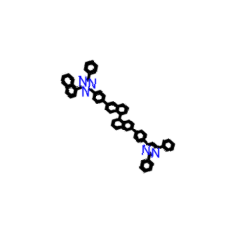 c1ccc(-c2cc(-c3ccc(-c4ccc5c(-c6cccc7cc(-c8ccc(-c9nc(-c%10ccccc%10)nc(-c%10cccc%11ccccc%10%11)n9)cc8)ccc67)cccc5c4)cc3)nc(-c3ccccc3)n2)cc1